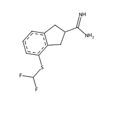 N=C(N)C1Cc2cccc(SC(F)F)c2C1